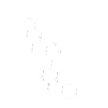 Cl.NC(c1cc2c(cc1F)CCO2)C(F)CC1C(=O)NC(=O)N(C2CCOCC2)C1=O